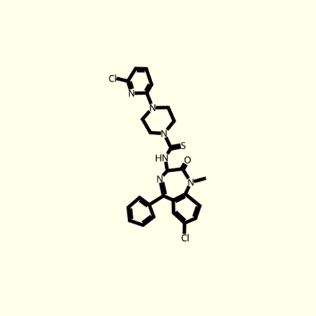 CN1C(=O)C(NC(=S)N2CCN(c3cccc(Cl)n3)CC2)N=C(c2ccccc2)c2cc(Cl)ccc21